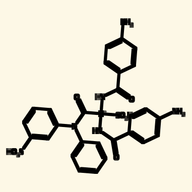 Nc1ccc(C(=O)N[N+](NC(=O)c2ccc(N)cc2)(C(=O)N(c2ccccc2)c2cccc(S(=O)(=O)O)c2)S(=O)(=O)O)cc1